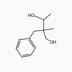 CC(O)C(C)(CO)Cc1cc[c]cc1